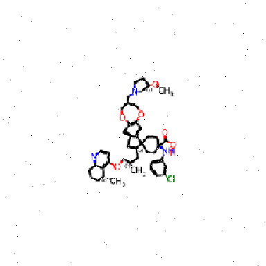 CO[C@H]1CCN(CC2COc3cc4c(cc3OC2)C2(CCC(Nc3cccc(Cl)c3)(C(=O)O)CC2)[C@@H](C[C@@H](C)COc2ccnc3c2[C@H](C)CCC3)C4)C1